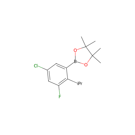 CC(C)c1c(F)cc(Cl)cc1B1OC(C)(C)C(C)(C)O1